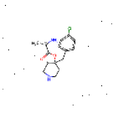 C[C@H](N)C(=O)OC1(Cc2ccc(Cl)cc2)CCNCC1